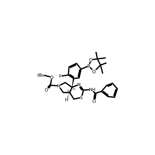 CC(C)(C)OC(=O)N1C[C@@H]2CSC(NC(=O)c3ccccc3)=N[C@@]2(c2cc(B3OC(C)(C)C(C)(C)O3)ccc2F)C1